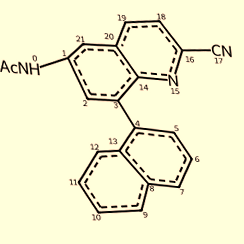 CC(=O)Nc1cc(-c2cccc3ccccc23)c2nc(C#N)ccc2c1